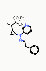 CCOC(=O)C(C#N)[C@H](C)C1CC1N(/N=C/Cc1ccccc1)c1cccnc1